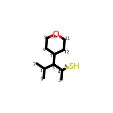 CC(C)C(C(C)S)C1CCOCC1